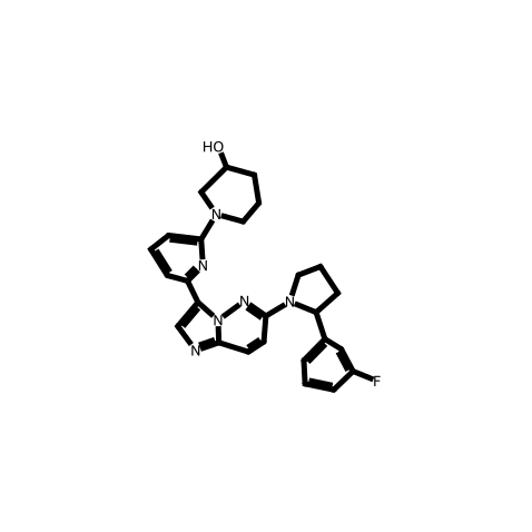 OC1CCCN(c2cccc(-c3cnc4ccc(N5CCCC5c5cccc(F)c5)nn34)n2)C1